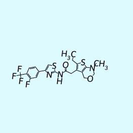 CCc1sc2c(c1CC(=O)Nc1nc(-c3ccc(C(F)(F)F)c(F)c3)cs1)COCN2C